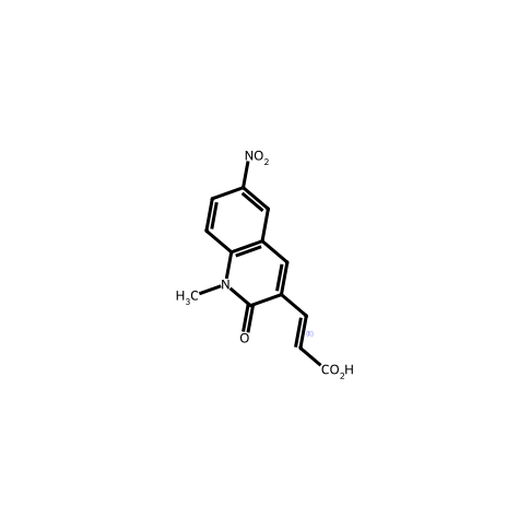 Cn1c(=O)c(/C=C/C(=O)O)cc2cc([N+](=O)[O-])ccc21